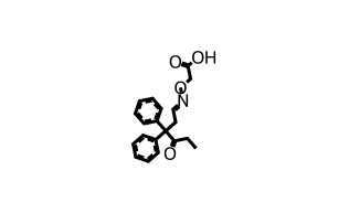 CCC(=O)C(CC=NOCC(=O)O)(c1ccccc1)c1ccccc1